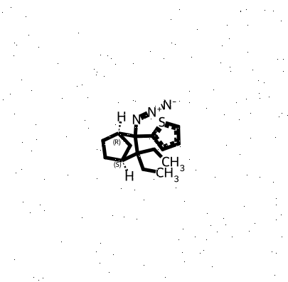 CCC1(CC)[C@H]2CC[C@H](C2)C1(N=[N+]=[N-])c1cccs1